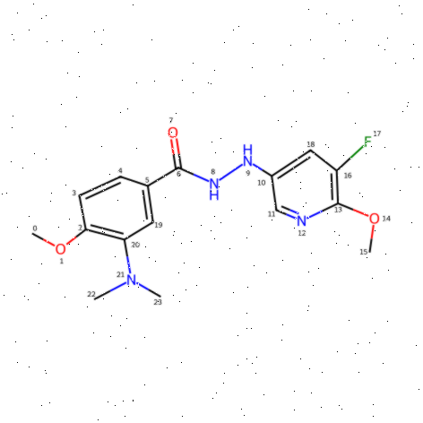 COc1ccc(C(=O)NNc2cnc(OC)c(F)c2)cc1N(C)C